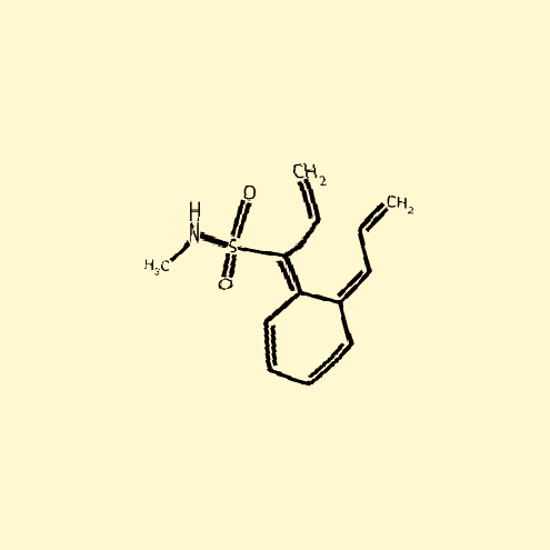 C=C/C=c1/cccc/c1=C(/C=C)S(=O)(=O)NC